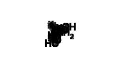 NC(=O)C(=NOCC(=O)O)c1cc2ccccc2cc1CSC1C(=O)N2C(C(=O)O)=CCS[C@@H]12